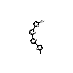 Cc1ccc(-c2ccc(-c3ccc(-c4ccc(S)s4)o3)o2)s1